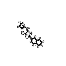 O=C1OC(c2ccc3ccccc3c2)=N/C1=C/c1cccs1